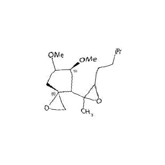 COC1C[C@]2(CO2)C(C2(C)OC2CCC(C)C)[C@@H]1OC